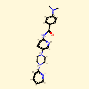 CN(C)c1ccc(C(=O)Nc2ccc(N3CCN(c4ccccn4)CC3)cn2)cc1